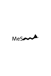 CSC=CCCCC1[CH]C1